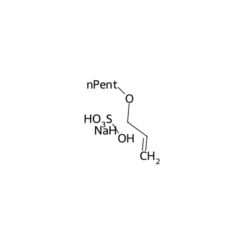 C=CCOCCCCC.O=S(=O)(O)O.[NaH]